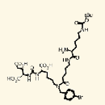 CC(C)(C)OC(=O)NCCCC[C@H](N)C(=O)NCCCCC(=O)N(CCCC[C@H](NC(=O)N[C@@H](CCC(=O)O)C(=O)O)C(=O)O)Cc1ccc(Br)cc1